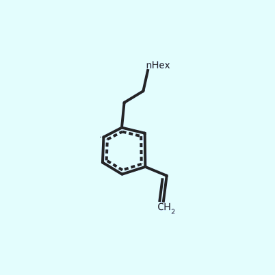 C=Cc1cc[c]c(CCCCCCCC)c1